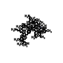 C/C=C(/NC(=O)C(O)C(C)CC)C(=O)NC(CC(C)C)C(=O)NC(CCCN)C(=O)NC(C(=O)NC(C(=O)NC(C(=O)NC(CCCCN)C(=O)NC(C(=O)NC(C(=O)NC(CCCCN)C(=O)NC(Cc1ccc(O)cc1)C(=O)NC(CC(C)C)C(=O)NC(CO)C(C)C)C(C)C)C(C)C)C(C)C)C(C)C)C(C)CC